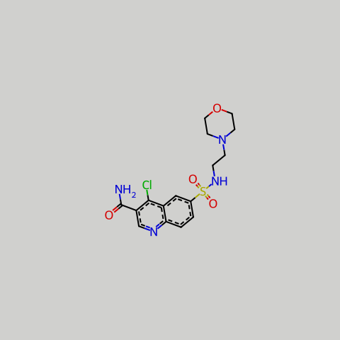 NC(=O)c1cnc2ccc(S(=O)(=O)NCCN3CCOCC3)cc2c1Cl